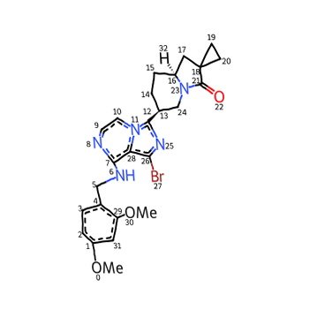 COc1ccc(CNc2nccn3c([C@H]4CC[C@H]5CC6(CC6)C(=O)N5C4)nc(Br)c23)c(OC)c1